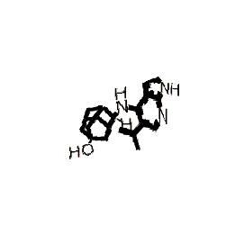 C=C(C)c1cnc2[nH]ccc2c1N[C@H]1C2CC3CC1C[C@@](O)(C3)C2